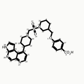 O=C(O)c1ccc(OCC2CCCN(S(=O)(=O)CN3CCC(c4ccnc5cnc6[nH]ccc6c45)CC3)C2)cc1